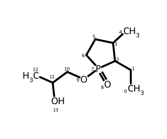 CCC1C(C)CCP1(=O)OCC(C)O